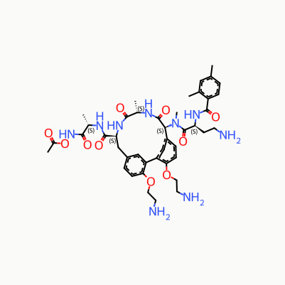 CC(=O)ONC(=O)[C@H](C)NC(=O)[C@@H]1Cc2ccc(OCCN)c(c2)-c2cc(ccc2OCCN)[C@H](N(C)C(=O)[C@H](CCN)NC(=O)c2ccc(C)cc2C)C(=O)N[C@@H](C)C(=O)N1